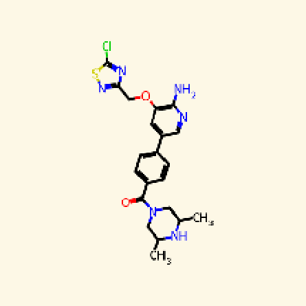 CC1CN(C(=O)c2ccc(-c3cnc(N)c(OCc4nsc(Cl)n4)c3)cc2)CC(C)N1